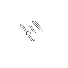 C#C.C=C.C=C=C